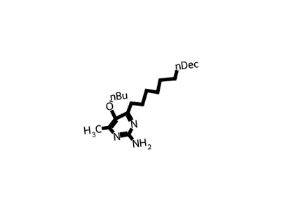 CCCCCCCCCCCCCCCCc1nc(N)nc(C)c1OCCCC